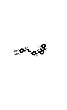 COc1ccc(CN(C)CCCOc2ccc(NC(=O)c3cccc4c(=O)c5cccc(C)c5[nH]c34)cc2)cc1OC